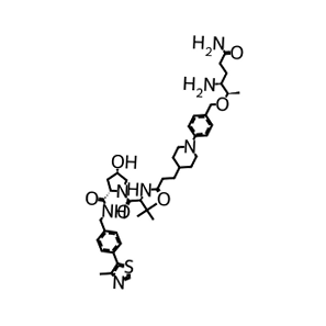 Cc1ncsc1-c1ccc(CNC(=O)[C@@H]2C[C@@H](O)CN2C(=O)[C@@H](NC(=O)CCC2CCN(c3ccc(CO[C@H](C)[C@@H](N)CCC(N)=O)cc3)CC2)C(C)(C)C)cc1